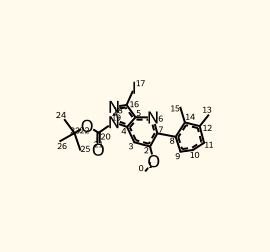 COc1cc2c(nc1-c1cccc(C)c1C)c(I)nn2C(=O)OC(C)(C)C